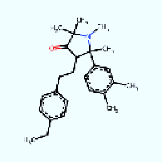 CCc1ccc(CCC2C(=O)C(C)(C)N(C)C2(C)c2ccc(C)c(C)c2)cc1